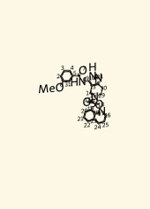 COc1cccc(C(=O)Nc2[nH]nc3c2CN(S(=O)(=O)c2cccc4cccnc24)CC3)c1